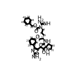 N=C(N)N(CCC[C@@H](C=O)NC(=O)[C@]1(C(=O)Cc2sc(N)nc2-c2ccccc2)CCCN1)C(=O)OCc1ccccc1